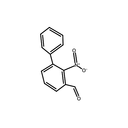 O=Cc1cccc(-c2ccccc2)c1[N+](=O)[O-]